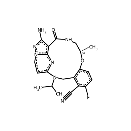 CC(C)N1Cc2c(ccc(F)c2C#N)O[C@@H](C)CNC(=O)c2c(N)nn3ccc1nc23